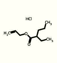 C=CCOC(=O)C(CC)CCC.Cl